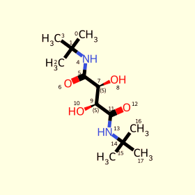 CC(C)(C)NC(=O)[C@@H](O)[C@H](O)C(=O)NC(C)(C)C